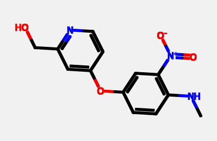 CNc1ccc(Oc2ccnc(CO)c2)cc1[N+](=O)[O-]